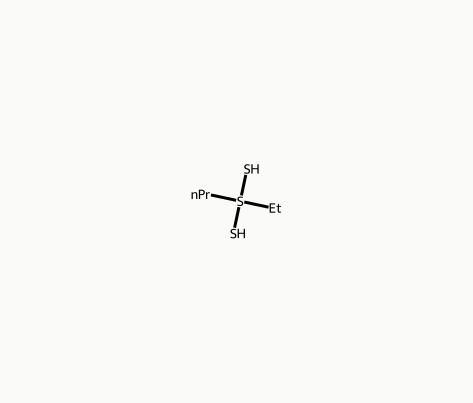 CCCS(S)(S)CC